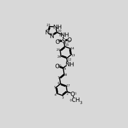 COc1cccc(/C=C/C(=O)Nc2ccc(S(=O)(=O)Nc3nnc[nH]3)cc2)c1